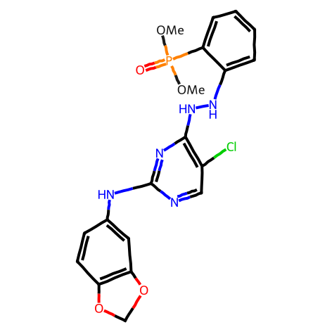 COP(=O)(OC)c1ccccc1NNc1nc(Nc2ccc3c(c2)OCO3)ncc1Cl